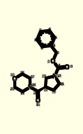 O=C(OCc1ccccc1)N1CC[C@@H](C(=O)N2CCOCC2)C1